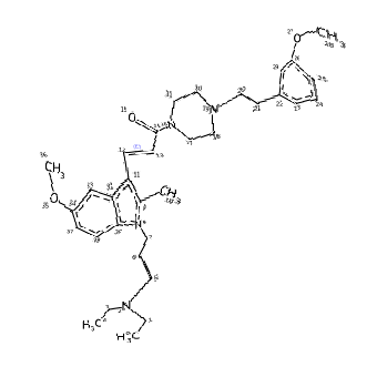 CCN(CC)CCCn1c(C)c(/C=C/C(=O)N2CCN(CCc3cccc(OC)c3)CC2)c2cc(OC)ccc21